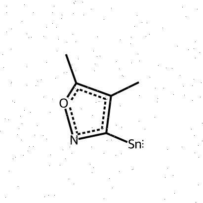 Cc1on[c]([Sn])c1C